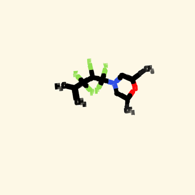 C=C(C)C(F)(F)C(F)C(F)(F)N1CC(C(F)(F)F)OC(C(F)(F)F)C1